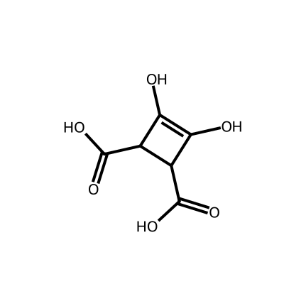 O=C(O)C1C(O)=C(O)C1C(=O)O